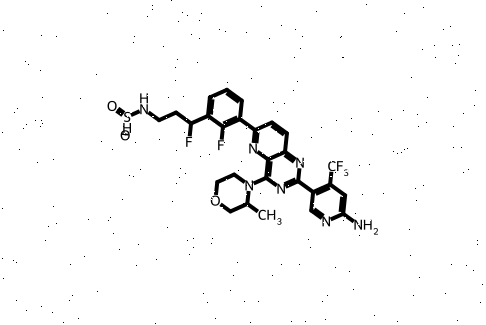 CC1COCCN1c1nc(-c2cnc(N)cc2C(F)(F)F)nc2ccc(-c3cccc(C(F)CCN[SH](=O)=O)c3F)nc12